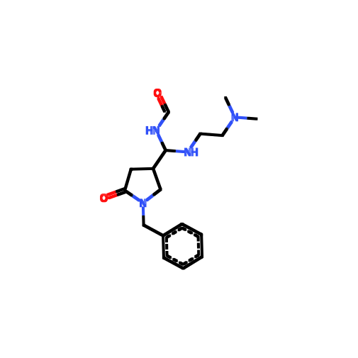 CN(C)CCNC(NC=O)C1CC(=O)N(Cc2ccccc2)C1